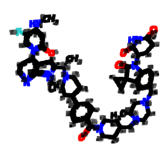 CNc1cc(=O)n(-c2ccnc3c2cc([C@H](C)N2CCC(c4ccc(C(=O)N5CCC(CN6CCN(Cc7ccc8c(c7)C7(CC7)C(=O)N8C7CCC(=O)NC7=O)C[C@@H]6C)CC5)cc4)CC2)n3C)cc1F